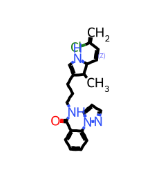 C=C(Cl)/C=C\C1NC=C(CCCNC(=O)c2ccccc2-n2cccn2)C1C